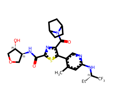 CC[C@H](Nc1cc(C)c(-c2sc(C(=O)N[C@H]3COC[C@@H]3O)nc2C(=O)N2C3CCC2CC3)cn1)C(F)(F)F